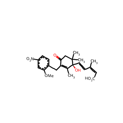 COc1cc([N+](=O)[O-])ccc1CC1=C(C)[C@@](O)(/C=C/C(C)=C\C(=O)O)C(C)(C)CC1=O